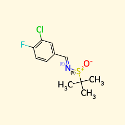 CC(C)(C)[S@@+]([O-])/N=C/c1ccc(F)c(Cl)c1